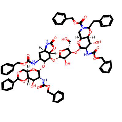 O=C(N[C@H]1[C@@H](O[C@H]2[C@@H](O)[C@H](O[C@@H]3[C@H]4OC(=O)N[C@@H]4C[C@H](NC(=O)OCc4ccccc4)[C@H]3O[C@H]3O[C@@H]4COC(c5ccccc5)O[C@H]4[C@H](O)[C@H]3NC(=O)OCc3ccccc3)O[C@@H]2CO)O[C@H]2CN(C(=O)OCc3ccccc3)C(Cc3ccccc3)O[C@H]2[C@@H]1O)OCc1ccccc1